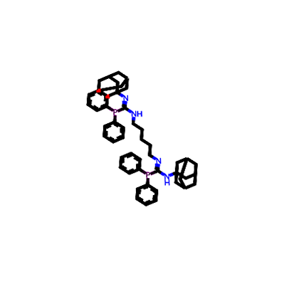 c1ccc(P(/C(=N\C23CC4CC(CC(C4)C2)C3)NCCCCC/N=C(/NC23CC4CC(CC(C4)C2)C3)P(c2ccccc2)c2ccccc2)c2ccccc2)cc1